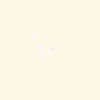 COc1cccc(-c2nc3c4c(C)cccc4nc(Cl)n3n2)c1